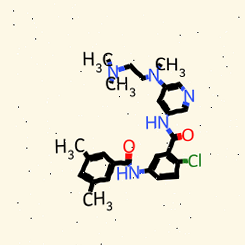 Cc1cc(C)cc(C(=O)Nc2ccc(Cl)c(C(=O)Nc3cncc(N(C)CCN(C)C)c3)c2)c1